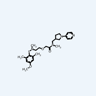 COc1cc(C)c(SN(C)CCOCC(=O)N(C)CC2CCN(c3ccncc3)C2)c(C)c1